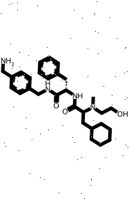 CN(CCO)C(CC1CCCCC1)C(=O)N[C@@H](Cc1ccccc1)C(=O)NCc1ccc(CN)cc1